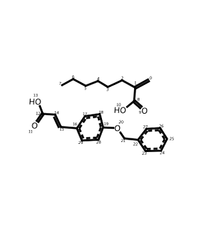 C=C(CCCCCC)C(=O)O.O=C(O)C=Cc1ccc(OCc2ccccc2)cc1